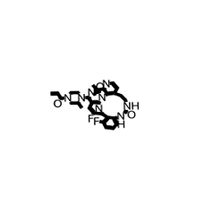 C=CC(=O)N1CCN(c2nc(=O)n3c4nc(c(F)cc24)-c2c(F)cccc2NC(=O)NCCc2ccnc(C(C)C)c2-3)C(C)C1